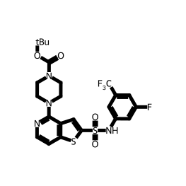 CC(C)(C)OC(=O)N1CCN(c2nccc3sc(S(=O)(=O)Nc4cc(F)cc(C(F)(F)F)c4)cc23)CC1